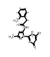 CCc1cc(=O)nc(-n2nc(C)cc2NC(=O)Cc2ccccc2C)[nH]1